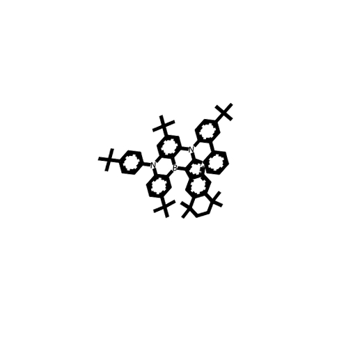 CC(C)(C)c1ccc(N2c3ccc(C(C)(C)C)cc3B3c4c2cc(C(C)(C)C)cc4N(c2ccc(C(C)(C)C)cc2-c2ccccc2)c2sc4cc5c(cc4c23)C(C)(C)CCC5(C)C)cc1